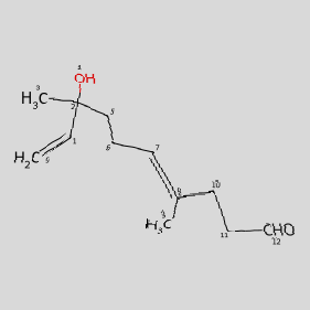 C=CC(C)(O)CC/C=C(\C)CCC=O